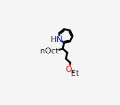 [CH2]CCCCCCCC(CCCOCC)C1=CC=CC=CN1